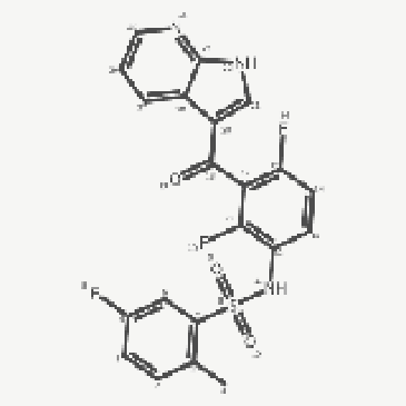 Cc1ccc(F)cc1S(=O)(=O)Nc1ccc(F)c(C(=O)c2c[nH]c3ncccc23)c1F